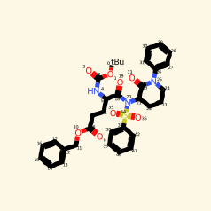 CC(C)(C)OC(=O)NC(CCC(=O)OCc1ccccc1)C(=O)N(C1CCCN(c2ccccc2)C1=O)S(=O)(=O)c1ccccc1